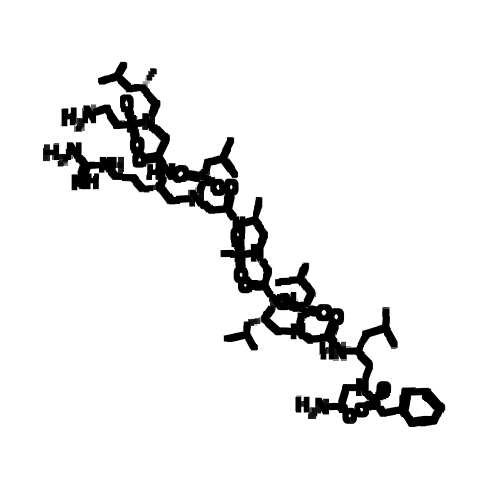 CC(C)C[C@H](C)CN(CC(=O)N[C@@H](CCCNC(=N)N)CN(CC(=O)N[C@@H](C)CN(CC(=O)N[C@@H](CC(C)C)CN(CC(=O)N[C@@H](CC(C)C)CN(CC(N)=O)S(=O)(=O)Cc1ccccc1)S(=O)(=O)CC(C)C)S(C)(=O)=O)S(=O)(=O)CC(C)C)S(=O)(=O)CCN